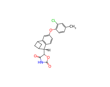 Cc1ccc(Oc2ccc3c(c2)C2CC(C2)[C@H]3C2OC(=O)NC2=O)c(Cl)c1